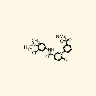 CNS(=O)(=O)c1cccc(-n2cc(C(=O)Nc3ccc(N(C)C)c(Cl)c3)ccc2=O)c1